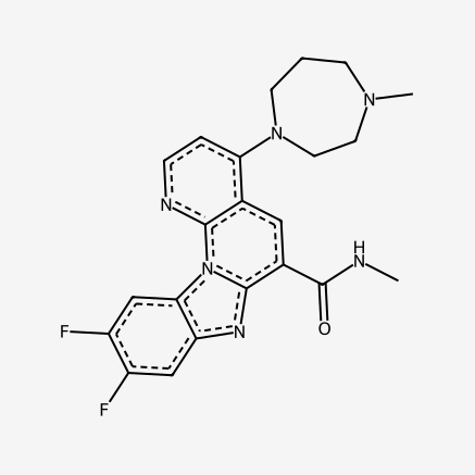 CNC(=O)c1cc2c(N3CCCN(C)CC3)ccnc2n2c1nc1cc(F)c(F)cc12